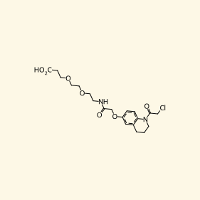 O=C(O)CCOCCOCCNC(=O)COc1ccc2c(c1)CCCN2C(=O)CCl